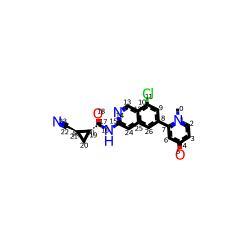 Cn1ccc(=O)cc1-c1cc(Cl)c2cnc(NC(=O)[C@@H]3C[C@H]3C#N)cc2c1